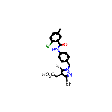 CCc1nn(Cc2ccc(NC(=O)c3cc(C)ccc3Br)cc2)c(CC)c1CC(=O)O